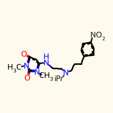 CC(C)N(CCCc1ccc([N+](=O)[O-])cc1)CCNc1cc(=O)n(C)c(=O)n1C